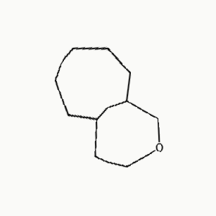 C1CCC2CCOCC2CC1